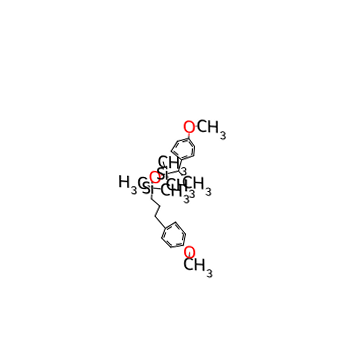 COc1ccc(CCC[Si](C)(C)O[Si](C)(C)C(C)c2ccc(OC)cc2)cc1